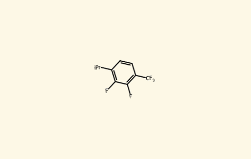 CC(C)c1ccc(C(F)(F)F)c(F)c1F